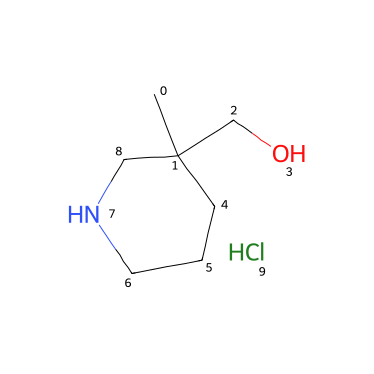 CC1(CO)CCCNC1.Cl